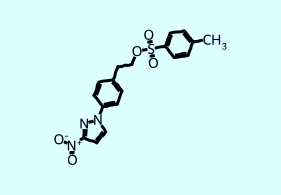 Cc1ccc(S(=O)(=O)OCCc2ccc(-n3ccc([N+](=O)[O-])n3)cc2)cc1